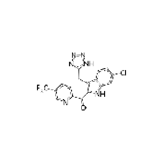 O=C(c1ccc(C(F)(F)F)cn1)c1[nH]c2cc(Cl)ccc2c1Cc1nnn[nH]1